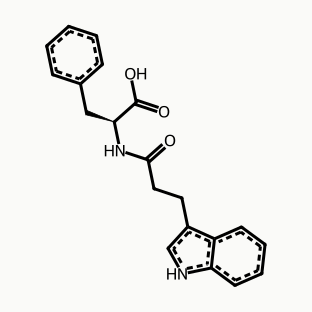 O=C(CCc1c[nH]c2ccccc12)N[C@@H](Cc1ccccc1)C(=O)O